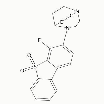 O=S1(=O)c2ccccc2-c2ccc(N3CCN4CCC3CC4)c(F)c21